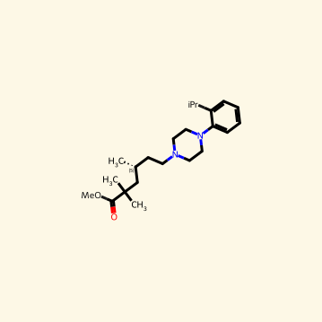 COC(=O)C(C)(C)C[C@H](C)CCN1CCN(c2ccccc2C(C)C)CC1